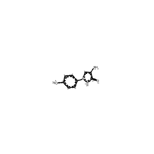 Nc1cn(-c2ccc(O)cc2)[nH]c1=O